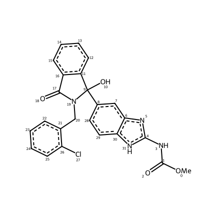 COC(=O)Nc1nc2cc(C3(O)c4ccccc4C(=O)N3Cc3ccccc3Cl)ccc2[nH]1